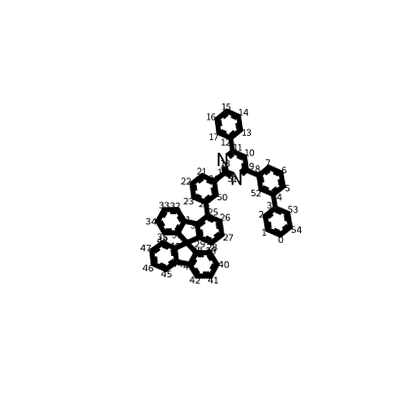 c1ccc(-c2cccc(-c3cc(-c4ccccc4)nc(-c4cccc(-c5cccc6c5-c5ccccc5C65c6ccccc6-c6ccccc65)c4)n3)c2)cc1